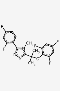 Cn1c(-c2ccc(F)cc2F)nnc1C(C)(C)Oc1c(F)cc(F)cc1F